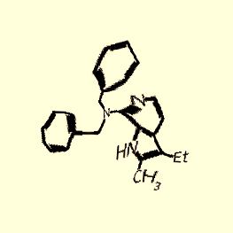 CCc1c(C)[nH]c2c(N(Cc3ccccc3)Cc3ccccc3)nccc12